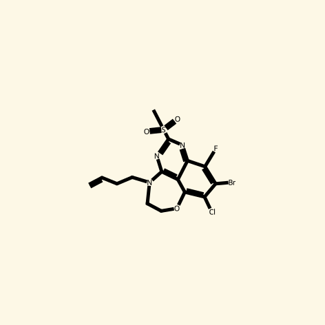 C=CCCN1CCOc2c(Cl)c(Br)c(F)c3nc(S(C)(=O)=O)nc1c23